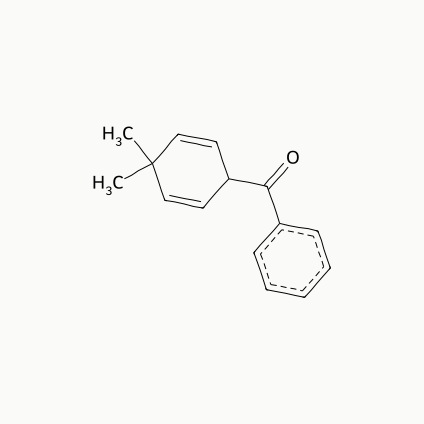 CC1(C)C=CC(C(=O)c2ccccc2)C=C1